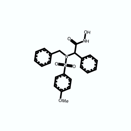 COc1ccc(S(=O)(=O)N(Cc2ccccc2)C(C(=O)NO)c2ccccc2)cc1